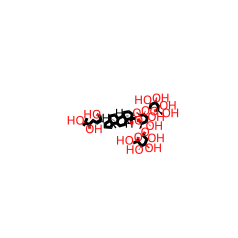 CC(C)(O)C(O)C/C=C(\CO)[C@H]1CC[C@]2(C)[C@@H]1CC[C@@H]1[C@@]3(C)CC[C@H](O[C@@H]4O[C@H](COC5OC(CO)[C@@H](O)[C@H](O)[C@H]5O)[C@@H](O)[C@H](O)[C@H]4OC4O[C@H](CO)[C@@H](O)[C@H](O)[C@H]4O)C(C)(C)[C@@H]3CC[C@]12C